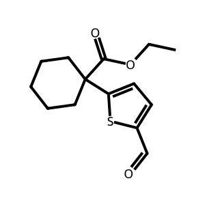 CCOC(=O)C1(c2ccc(C=O)s2)CCCCC1